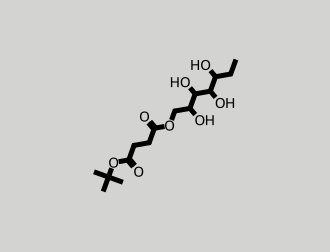 CCC(O)C(O)C(O)C(O)COC(=O)CCC(=O)OC(C)(C)C